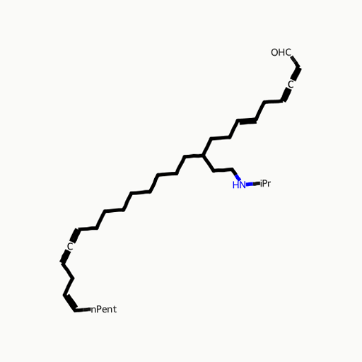 CCCCC/C=C\CC=C=CCCCCCCCCC(CC/C=C/CC=C=CC=O)CCNC(C)C